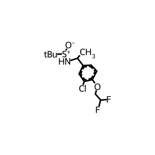 CC(N[S+]([O-])C(C)(C)C)c1ccc(OCC(F)F)c(Cl)c1